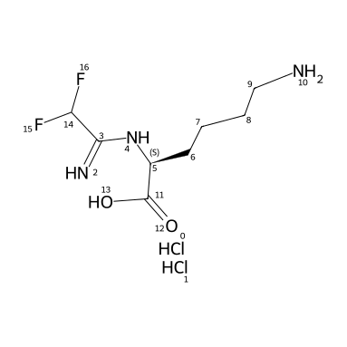 Cl.Cl.N=C(N[C@@H](CCCCN)C(=O)O)C(F)F